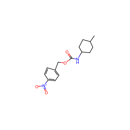 CC1CCC(NC(=O)OCc2ccc([N+](=O)[O-])cc2)CC1